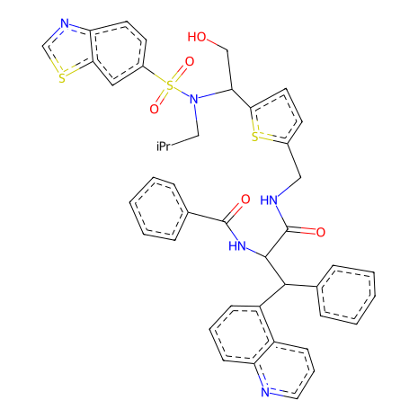 CC(C)CN(C(CO)c1ccc(CNC(=O)C(NC(=O)c2ccccc2)C(c2ccccc2)c2cccc3ncccc23)s1)S(=O)(=O)c1ccc2ncsc2c1